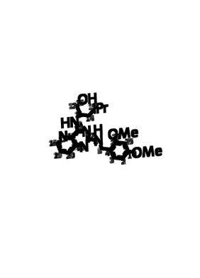 COc1ccc(CNc2nc(NC(CO)CC(C)C)c3ncccc3n2)c(OC)c1